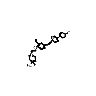 C=Cc1cc(C#Cc2ccc(-c3ccc(Cl)cc3)cn2)ccc1OCCN1CCC(C)(O)CC1